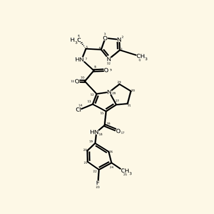 Cc1noc([C@@H](C)NC(=O)C(=O)c2c(Cl)c(C(=O)Nc3ccc(F)c(C)c3)c3n2CCC3)n1